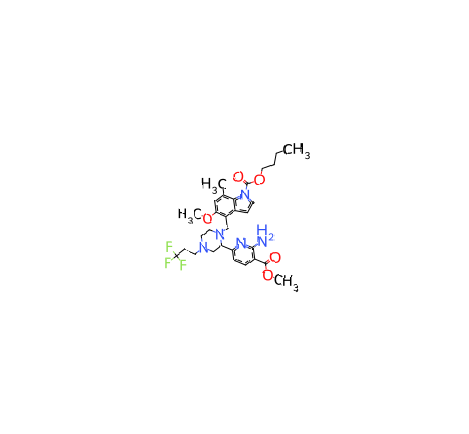 CCCCOC(=O)n1ccc2c(CN3CCN(CCC(F)(F)F)CC3c3ccc(C(=O)OC)c(N)n3)c(OC)cc(C)c21